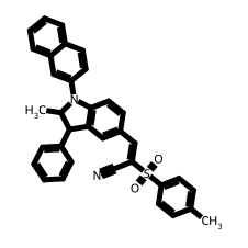 Cc1ccc(S(=O)(=O)/C(C#N)=C/c2ccc3c(c2)C(c2ccccc2)C(C)N3c2ccc3ccccc3c2)cc1